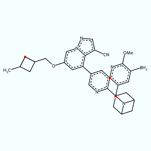 Bc1cc(CN2C3CC2CN(c2ccc(-c4cc(OCC56CC(C)(C5)C6)cn5ncc(C#N)c45)cn2)C3)cnc1OC